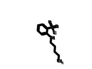 CCCCCNc1ccccc1S(=O)(=O)Cl